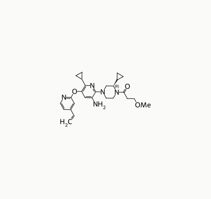 C=Cc1ccnc(Oc2cc(N)c(N3CCN(C(=O)CCOC)[C@H](C4CC4)C3)nc2C2CC2)c1